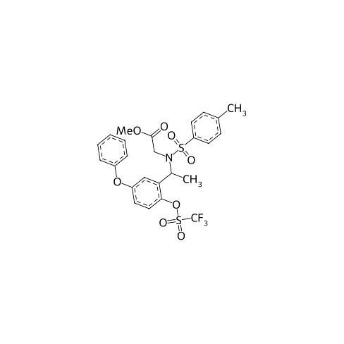 COC(=O)CN(C(C)c1cc(Oc2ccccc2)ccc1OS(=O)(=O)C(F)(F)F)S(=O)(=O)c1ccc(C)cc1